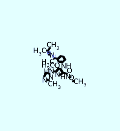 C=C/C(C)=C\N=C(/C)c1cccc(Nc2cc(Nc3ccnc(C)n3)ncc2C(=O)NOCC)c1OC